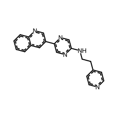 c1ccc2ncc(-c3cnc(NCCc4ccncc4)cn3)cc2c1